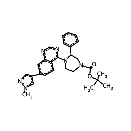 Cn1cc(-c2ccc3c(N4CCN(C(=O)OC(C)(C)C)C[C@@H]4c4ccccc4)ncnc3c2)cn1